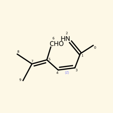 CC(=N)/C=C\C(C=O)=C(C)C